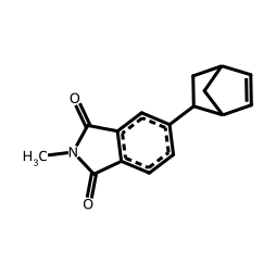 CN1C(=O)c2ccc(C3CC4C=CC3C4)cc2C1=O